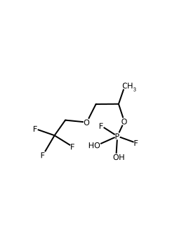 CC(COCC(F)(F)F)OP(O)(O)(F)F